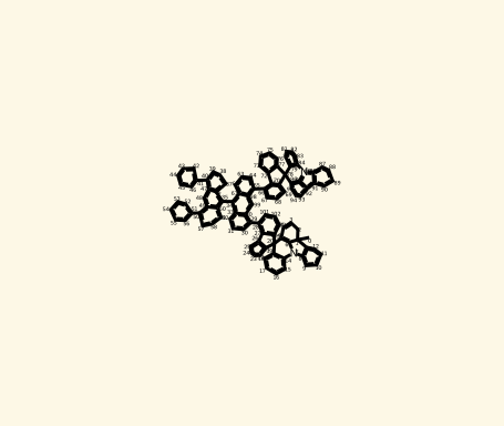 CC12CC=CC3=C1N(c1ccccc12)c1ccccc1C31c2ccccc2-c2c(-c3cccc4c(-c5c6cccc(-c7ccccc7)c6cc6c(-c7ccccc7)cccc56)c5cccc(-c6cccc7c6-c6ccccc6C76c7ccccc7-n7c8ccccc8c8cccc6c87)c5cc34)cccc21